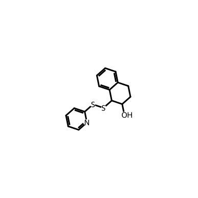 OC1CCc2ccccc2C1SSc1ccccn1